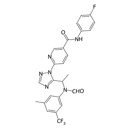 Cc1cc(N(C=O)C(C)c2ncnn2-c2ccc(C(=O)Nc3ccc(F)cc3)cn2)cc(C(F)(F)F)c1